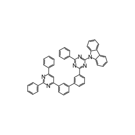 c1ccc(-c2cc(-c3cccc(-c4cccc(-c5nc(-c6ccccc6)nc(-n6c7ccccc7c7ccccc76)n5)c4)c3)nc(-c3ccccc3)n2)cc1